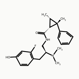 C[C@H]1[C@@H](C(=O)NC[C@H](Cc2ccc(O)cc2F)N(C)C)[C@@]1(C)c1ccccc1